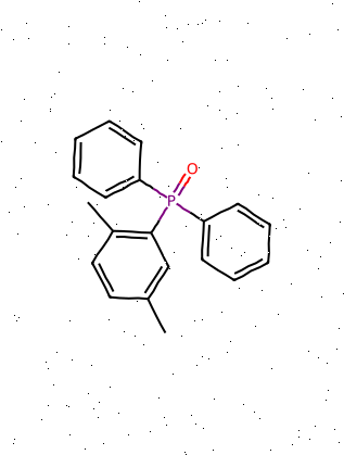 Cc1ccc(C)c(P(=O)(c2ccccc2)c2ccccc2)c1